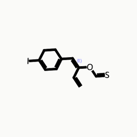 C=C/C(=C\C1=CC=C(I)CC1)OC=S